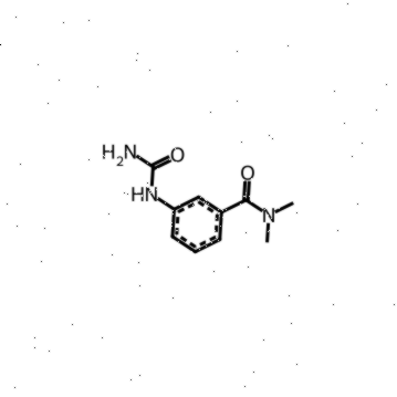 CN(C)C(=O)c1cccc(NC(N)=O)c1